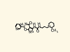 CC1CCCCN1CCCNC(=O)Nc1snc(OCc2cccnc2)c1C(N)=O